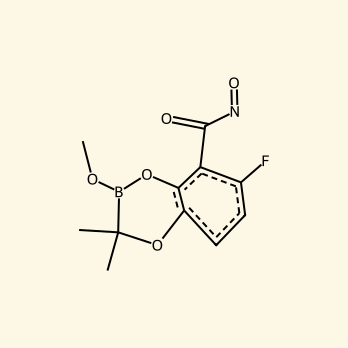 COB1Oc2c(ccc(F)c2C(=O)N=O)OC1(C)C